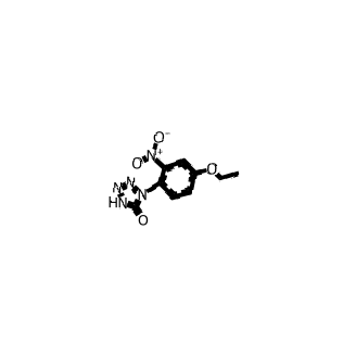 CCOc1ccc(-n2nn[nH]c2=O)c([N+](=O)[O-])c1